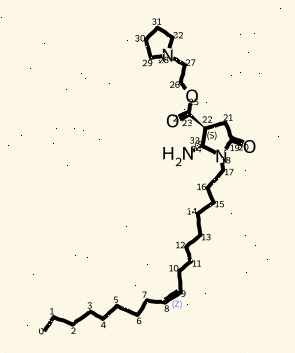 CCCCCCCC/C=C\CCCCCCCCN1C(=O)C[C@H](C(=O)OCCN2CCCC2)[C@H]1N